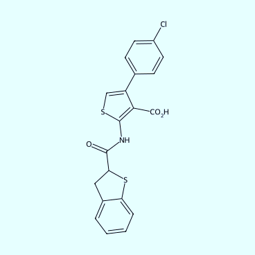 O=C(O)c1c(-c2ccc(Cl)cc2)csc1NC(=O)C1Cc2ccccc2S1